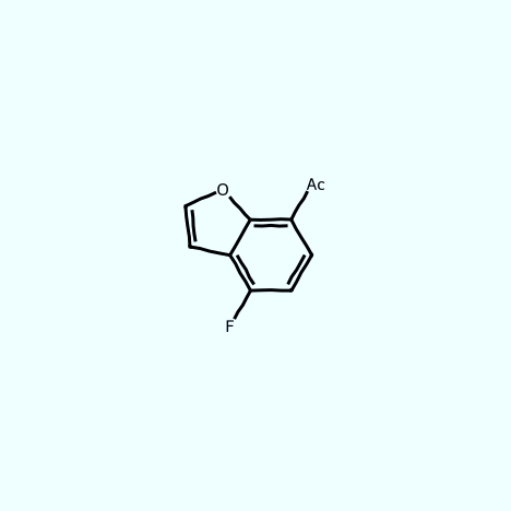 CC(=O)c1ccc(F)c2ccoc12